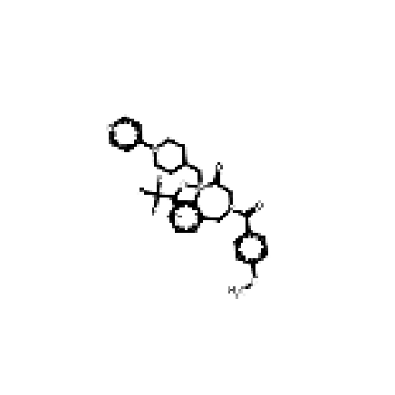 COc1ccc(C(=O)N2CC(=O)[N+](CC3CCN(c4ccncc4)CC3)(OC(=O)C(F)(F)F)c3ccccc3C2)cc1